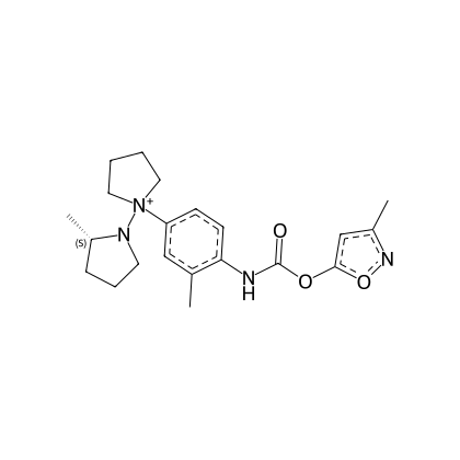 Cc1cc(OC(=O)Nc2ccc([N+]3(N4CCC[C@@H]4C)CCCC3)cc2C)on1